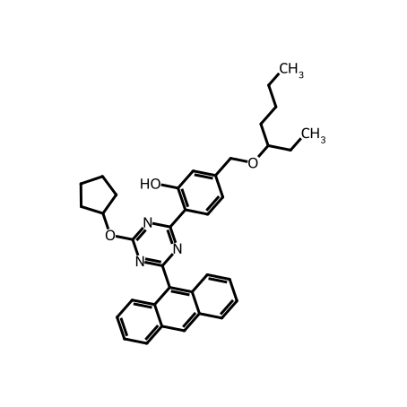 CCCCC(CC)OCc1ccc(-c2nc(OC3CCCC3)nc(-c3c4ccccc4cc4ccccc34)n2)c(O)c1